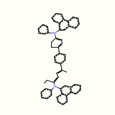 CC/C(=C\C=C(/C)c1ccc(C2=CC=C(N(c3ccccc3)c3cc4ccccc4c4ccccc34)CC2)cc1)N(c1ccccc1)c1cc2ccccc2c2ccccc12